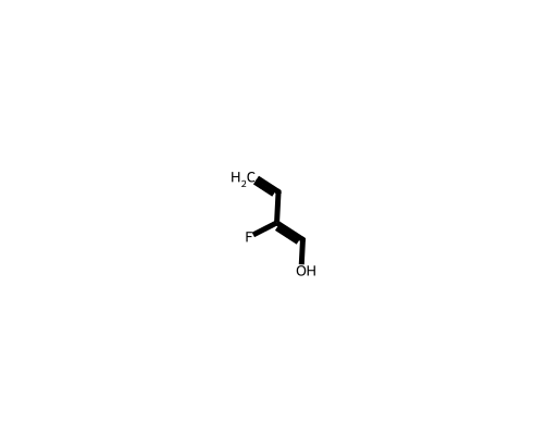 C=CC(F)=CO